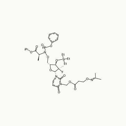 CC[Si](CC)(CC)O[C@@H]1[C@@H](CON([C@@H](C)C(=O)OC(C)C)[PH](=O)Oc2ccccc2)O[C@@H](n2ccc(=O)n(COC(=O)CCON=C(C)C)c2=O)[C@]1(C)F